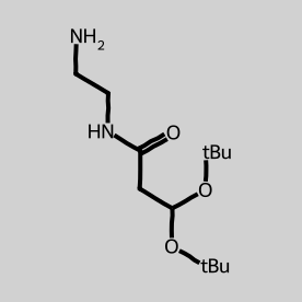 CC(C)(C)OC(CC(=O)NCCN)OC(C)(C)C